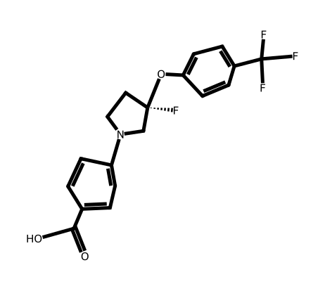 O=C(O)c1ccc(N2CC[C@@](F)(Oc3ccc(C(F)(F)F)cc3)C2)cc1